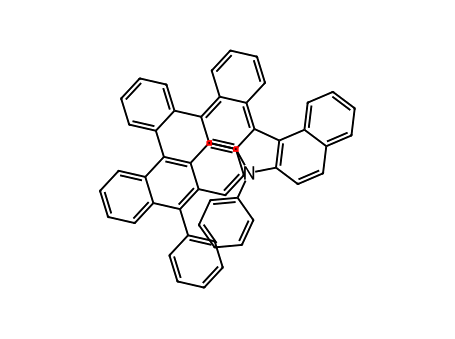 c1ccc(-c2c3ccccc3c(-c3ccccc3-c3cc4c(c5ccccc35)c3c5ccccc5ccc3n4-c3ccccc3)c3ccccc23)cc1